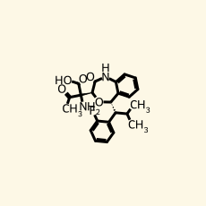 CC(=O)C(N)(C(=O)O)[C@@H]1O[C@@H](C(c2ccccc2F)C(C)C)c2ccccc2NC1=O